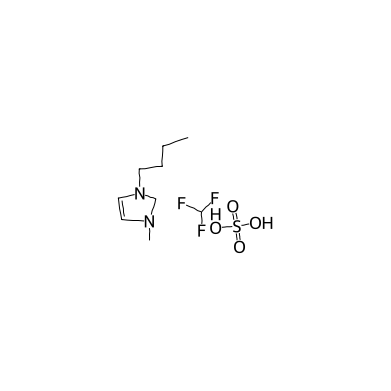 CCCCN1C=CN(C)C1.FC(F)F.O=S(=O)(O)O